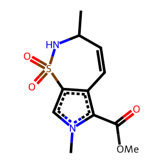 COC(=O)c1c2c(cn1C)S(=O)(=O)NC(C)C=C2